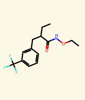 CCONC(=O)C(CC)Cc1cccc(C(F)(F)F)c1